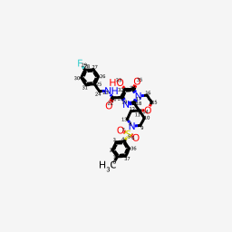 Cc1ccc(S(=O)(=O)N2CCC3(CC2)OCCn2c3nc(C(=O)NCc3ccc(F)cc3)c(O)c2=O)cc1